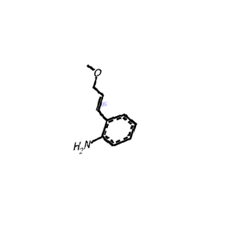 COC/C=C/c1ccccc1N